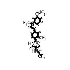 C[C@@H](NC(=O)c1ccc(/C=C/C(c2cccc(OC(F)(F)F)c2)C(F)(F)F)cc1C(F)(F)F)C(=O)NCC(F)(F)F